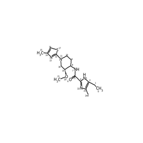 CCc1[nH]c(C(=O)NC2CCN(c3nc(C)cs3)C[C@@H]2OC)nc1I